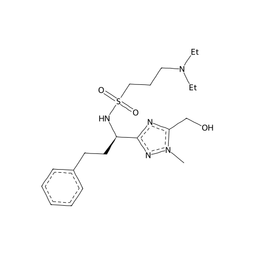 CCN(CC)CCCS(=O)(=O)N[C@H](CCc1ccccc1)c1nc(CO)n(C)n1